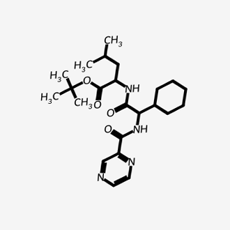 CC(C)CC(NC(=O)C(NC(=O)c1cnccn1)C1CCCCC1)C(=O)OC(C)(C)C